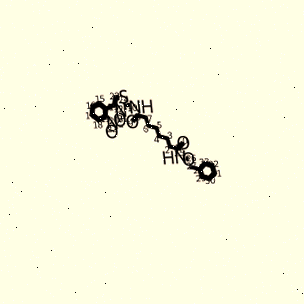 O=C(CCCCCCC(=O)Nc1nc(-c2ccccc2[N+](=O)[O-])cs1)NOCc1ccccc1